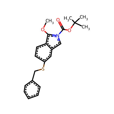 COc1c2ccc(SCc3ccccc3)cc2cn1C(=O)OC(C)(C)C